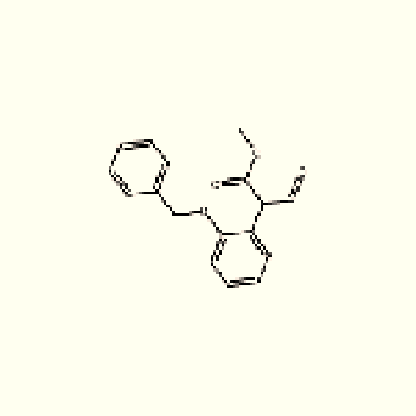 COC(=O)C(C=O)c1ccccc1OCc1ccccc1